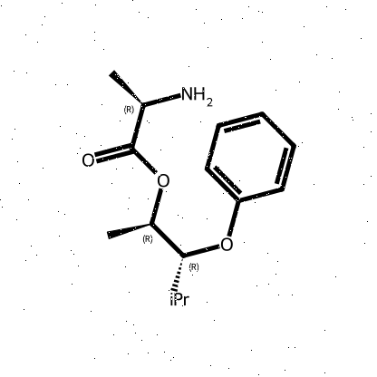 CC(C)[C@@H](Oc1ccccc1)[C@@H](C)OC(=O)[C@@H](C)N